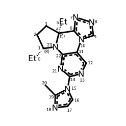 CC[C@@H]1CC[C@@]2(CC)c3nncn3-c3cnc(-n4ccnc4C)nc3N12